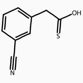 N#Cc1cccc(CC(O)=S)c1